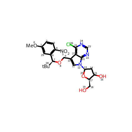 COc1ccc([N+](=O)[O-])c([C@@H](OCc2cn([C@H]3CC(O)[C@@H](CO)O3)c3ncnc(Cl)c23)C(C)(C)C)c1